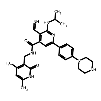 Cc1cc(C)c(CNC(=O)c2cc(-c3ccc(N4CCNCC4)cc3)nc(NC(C)C)c2C=N)c(=O)[nH]1